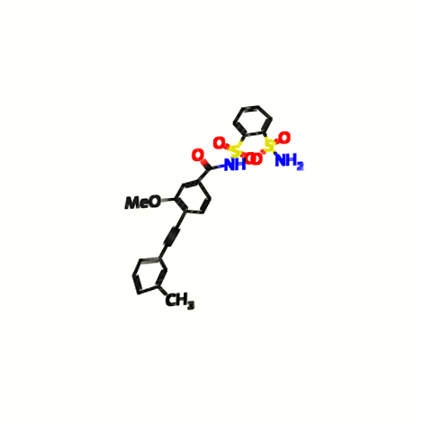 COc1cc(C(=O)NS(=O)(=O)c2ccccc2S(N)(=O)=O)ccc1C#Cc1cccc(C)c1